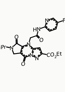 CCOC(=O)c1cc2n(CC(=O)Nc3ccc(F)cn3)c3c(c(=O)n2n1)CN(C(C)C)C3=O